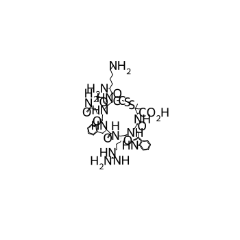 CC1(C)SSCC[C@H](NC(=O)[C@H](N)CCCCN)C(=O)N[C@@H](CCC(N)=O)C(=O)N[C@H](Cc2ccccc2)C(=O)N[C@@H](CCCNC(=N)N)C(=O)N[C@@H](Cc2c[nH]c3ccccc23)C(=O)N[C@@H]1C(=O)O